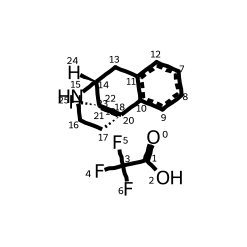 O=C(O)C(F)(F)F.c1ccc2c(c1)C[C@H]1NCC[C@@]23CCCC[C@@H]13